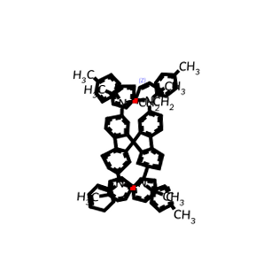 C=C(C)/C=C\C(=C)N(c1ccc(C)cc1)c1ccc2c(c1)C1(c3cc(N(C4=CC=CCC4)c4ccc(C)cc4)ccc3-2)c2cc(N(c3ccc(C)cc3)c3ccc(C)cc3)ccc2-c2ccc(N(c3ccc(C)cc3)c3ccc(C)cc3)cc21